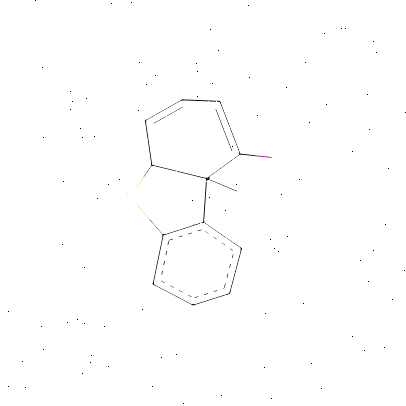 CC12C(I)=CC=CC1Sc1ccccc12